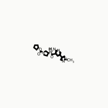 Cn1cc(-c2cnc(N)c(C(=O)N[C@@H]3CCN(C(=O)OC4CCCC4)C3)c2)cn1